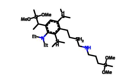 CCN(CC)c1c(C(C)[Si](C)(OC)OC)cc([SiH](C)C)c(CC[SiH2]CNCCC[Si](C)(OC)OC)c1[SiH](C)C